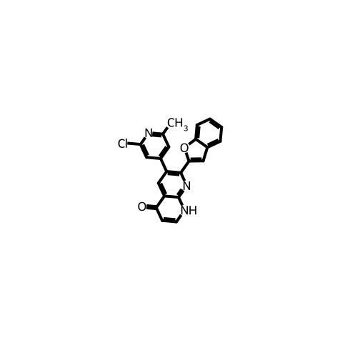 Cc1cc(-c2cc3c(=O)cc[nH]c3nc2-c2cc3ccccc3o2)cc(Cl)n1